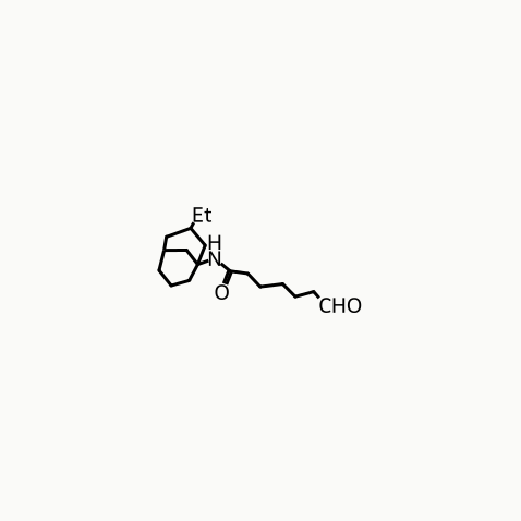 CCC1CC2CCCC(NC(=O)CCCCCC=O)(C1)C2